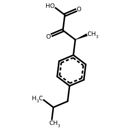 CC(C)Cc1ccc([C@H](C)C(=O)C(=O)O)cc1